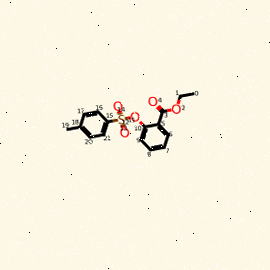 CCOC(=O)c1ccccc1OS(=O)(=O)c1ccc(C)cc1